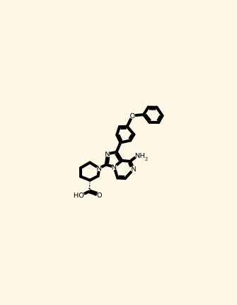 Nc1nccn2c(N3CCC[C@@H](C(=O)O)C3)nc(-c3ccc(Oc4ccccc4)cc3)c12